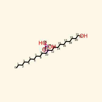 CCCCCCCCCCCCCCCCCCCCCCO.O=[PH](O)O